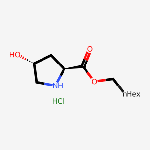 CCCCCCCOC(=O)[C@@H]1C[C@@H](O)CN1.Cl